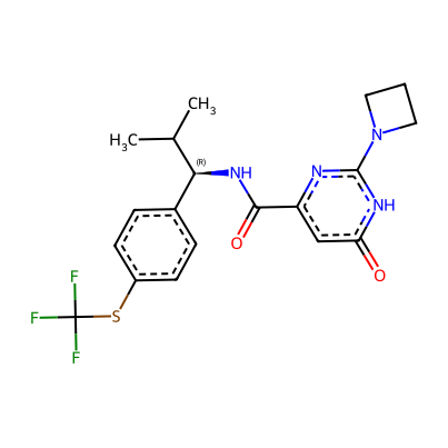 CC(C)[C@@H](NC(=O)c1cc(=O)[nH]c(N2CCC2)n1)c1ccc(SC(F)(F)F)cc1